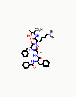 CCN(CCCC[C@H](NC(=O)[C@H](Cc1ccccc1)NC(=O)[C@H](C)NC(=O)C(Cc1ccccc1)NC(=O)C1CCCCC1)C(=O)NC(C(=O)O)[C@H](C)O)C(C)C